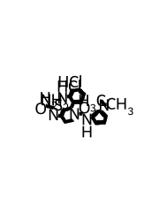 CN(C)c1cccc(NC(=O)N2CCc3nc(C(N)=O)sc3C2c2ccccc2N)c1.Cl.Cl